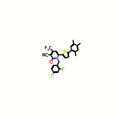 Cc1cc(C)c(-c2ccc(-c3cc(C(F)(F)F)c(C#N)c(=O)n3Cc3ccc(F)cc3F)s2)cc1C